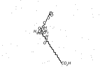 CC(C)C(=O)COCCOCCNC(=O)C(C)(C)NC(=O)CCCNC(=O)CCCCCCCCCCCCCCCCC(=O)O